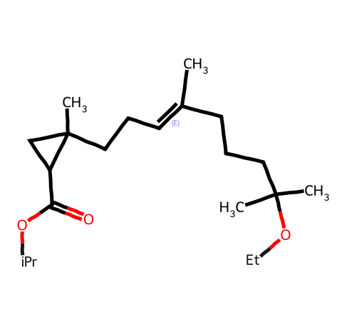 CCOC(C)(C)CCC/C(C)=C/CCC1(C)CC1C(=O)OC(C)C